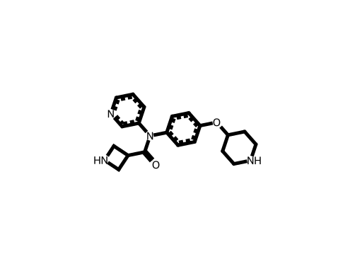 O=C(C1CNC1)N(c1ccc(OC2CCNCC2)cc1)c1cccnc1